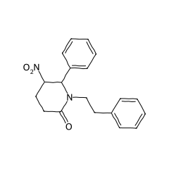 O=C1CCC([N+](=O)[O-])C(c2ccccc2)N1CCc1ccccc1